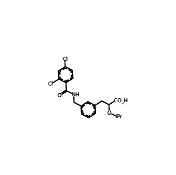 CC(C)OC(Cc1cccc(CNC(=O)c2ccc(Cl)cc2Cl)c1)C(=O)O